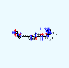 COC(=O)[C@H](CCC(=O)NCCCCCCCCNc1cccc2c1C(=O)N(C1CCC(=O)NC1=O)C2=O)NC(=O)CC[C@H](NC(=O)CC[C@H](NC(=O)c1ccc(N(C)Cc2cnc3nc(N)nc(N)c3n2)cc1)C(=O)O)C(=O)OC